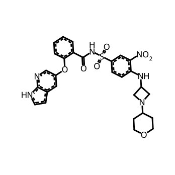 O=C(NS(=O)(=O)c1ccc(NC2CN(C3CCOCC3)C2)c([N+](=O)[O-])c1)c1ccccc1Oc1cnc2[nH]ccc2c1